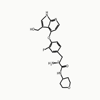 N[C@@H](Cc1ccc(Oc2ccnc3[nH]cc(CO)c23)c(F)c1)C(=O)NC1CCOCC1